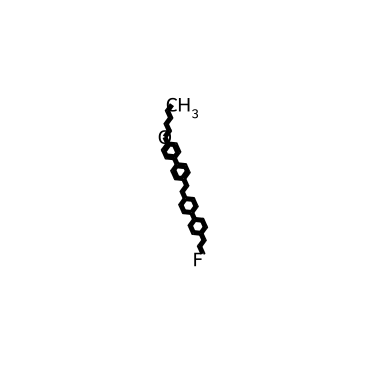 CCCCCOc1ccc(-c2ccc(CCC3CCC(C4CCC(CCCF)CC4)CC3)cc2)cc1